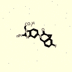 CCCc1nc2cc(N(Cc3ccc(F)cc3)C(=O)C3CC3)ccc2n1CC(=O)O